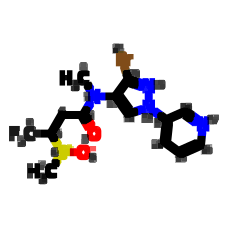 CN(C(=O)CC([S+](C)[O-])C(F)(F)F)c1cn(-c2cccnc2)nc1Br